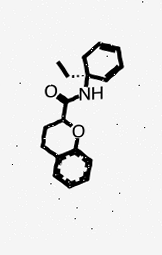 CC[C@@]1(NC(=O)C2CCc3ccccc3O2)C=CC=CC1